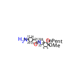 CCCCCOc1c(OC)ccc2c1CCN(C(=O)Cc1ccc(N)cc1)C2